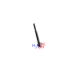 CCCCCCCCCCCCCCCCCCCCCCCC/C=C/[C@@H](O)[C@@H](N)CO